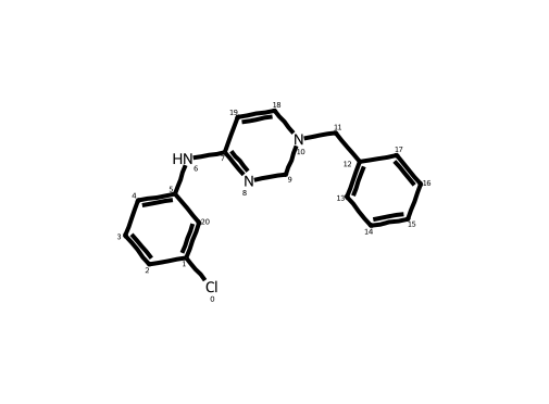 Clc1cccc(NC2=NCN(Cc3ccccc3)C=C2)c1